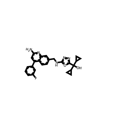 Nc1cc(-c2cccc(F)c2)c2ccc(CNc3nnc(C(O)(C4CC4)C4CC4)o3)cc2n1